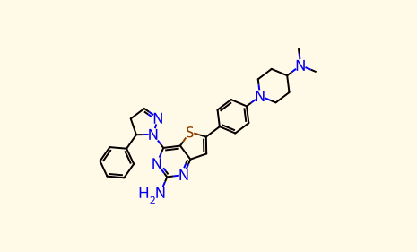 CN(C)C1CCN(c2ccc(-c3cc4nc(N)nc(N5N=CCC5c5ccccc5)c4s3)cc2)CC1